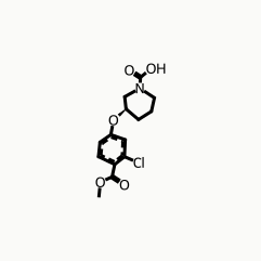 COC(=O)c1ccc(O[C@@H]2CCCN(C(=O)O)C2)cc1Cl